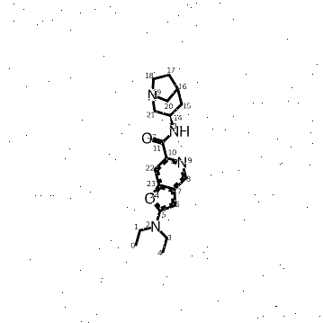 CCN(CC)c1cc2cnc(C(=O)N[C@@H]3CC4CCN(C4)C3)cc2o1